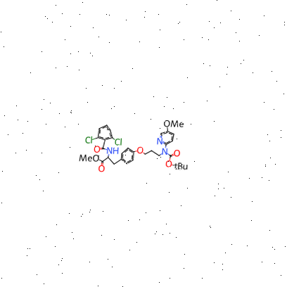 COC(=O)C(Cc1ccc(OCCCN(C(=O)OC(C)(C)C)c2ccc(OC)cn2)cc1)NC(=O)c1c(Cl)cccc1Cl